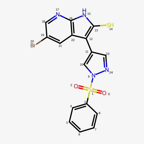 O=S(=O)(c1ccccc1)n1cc(-c2c(S)[nH]c3ncc(Br)cc23)cn1